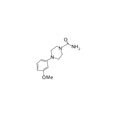 COc1cccc(N2CCN(C(N)=O)CC2)c1